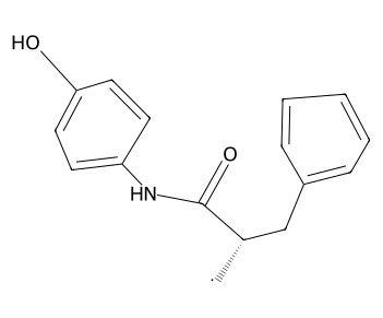 [CH2][C@@H](Cc1ccccc1)C(=O)Nc1ccc(O)cc1